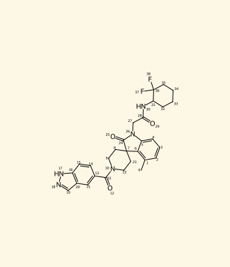 Cc1cccc2c1C1(CCN(C(=O)c3ccc4[nH]ncc4c3)CC1)C(=O)N2CC(=O)NC1CCCCC1(F)F